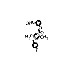 C[C@@H]1CN(Cc2ccc(F)cc2)[C@@H](C)CN1C(=O)COc1cccc(C=O)c1